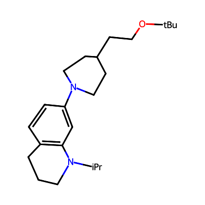 CC(C)N1CCCc2ccc(N3CCC(CCOC(C)(C)C)CC3)cc21